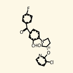 O=Cc1cc(C(=O)c2ccc(F)cc2)ccc1N1CC[C@H](Oc2ncccc2Cl)C1